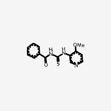 COc1ccncc1NC(=S)NC(=O)c1ccccc1